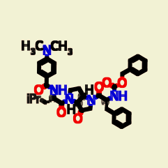 CC(C)C[C@H](NC(=O)c1ccc(N(C)C)cc1)C(=O)N1CC[C@@H]2[C@H]1C(=O)CN2C(=O)[C@H](Cc1ccccc1)NC(=O)OCc1ccccc1